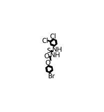 O=C(COc1ccc(Br)cc1)NC(=S)Nc1ccc(Cl)c(Cl)c1